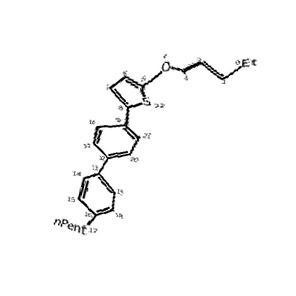 CCC=CCOc1ccc(-c2ccc(-c3ccc(CCCCC)cc3)cc2)s1